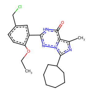 CCOc1ccc(CCl)cc1-c1nn2c(C3CCCCCC3)nc(C)c2c(=O)[nH]1